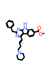 COC(=O)c1ccc2c(c1)[nH]c1nc(Cc3ccccc3)nc(/C=C/CCN3CCCCC3)c12